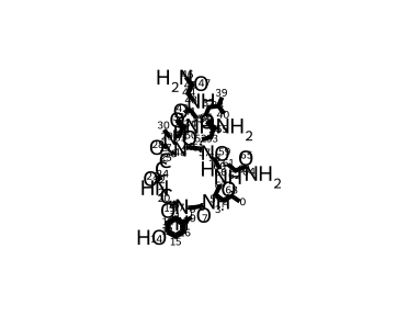 CC[C@H](C)[C@@H]1NC(=O)[C@H](Cc2ccc(O)cc2)NC(=O)CNC(=O)CC[C@@H](C(=O)N(C)CC(=O)N[C@@H](CCC(C)C)C(=O)NCC(N)=O)NC(=O)[C@H](CCC(N)=O)NC(=O)[C@H](CCC(N)=O)NC1=O